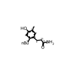 CCCCc1cc(O)c(C)cc1CCC(N)=O